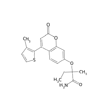 CCC(C)(Oc1ccc2c(-c3sccc3C)cc(=O)oc2c1)C(N)=O